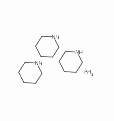 C1CCNCC1.C1CCNCC1.C1CCNCC1.P